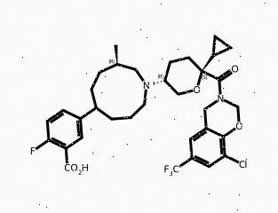 C[C@@H]1CCC(c2ccc(F)c(C(=O)O)c2)CCCN([C@@H]2CC[C@@](C(=O)N3COc4c(Cl)cc(C(F)(F)F)cc4C3)(C3CC3)OC2)C1